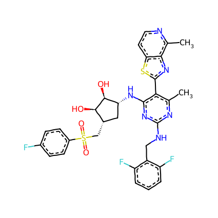 Cc1nc(NCc2c(F)cccc2F)nc(N[C@@H]2C[C@H](CS(=O)(=O)c3ccc(F)cc3)[C@@H](O)[C@H]2O)c1-c1nc2c(C)nccc2s1